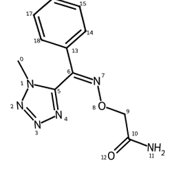 Cn1nnnc1C(=NOCC(N)=O)c1ccccc1